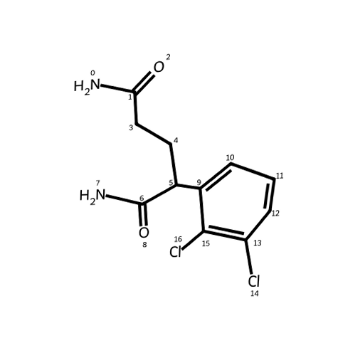 NC(=O)CCC(C(N)=O)c1cccc(Cl)c1Cl